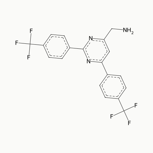 NCc1cc(-c2ccc(C(F)(F)F)cc2)nc(-c2ccc(C(F)(F)F)cc2)n1